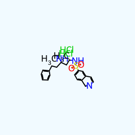 CNC(CCc1ccccc1)C[C@@H](C)NS(=O)(=O)c1ccc2cnccc2c1.Cl.Cl